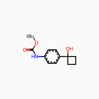 CC(C)(C)OC(=O)Nc1ccc(C2(O)CCC2)cc1